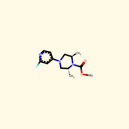 C[C@@H]1CN(c2ccnc(F)c2)C[C@@H](C)N1C(=O)OC(C)(C)C